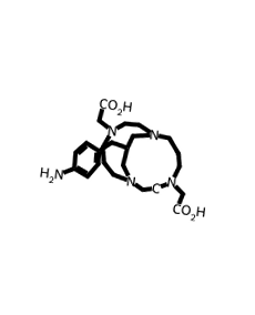 Nc1ccc(CC2CN3CCCN(CC(=O)O)CCN(CCCN(CC(=O)O)CC3)C2)cc1